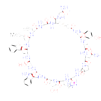 CCCC[C@H]1C(=O)N[C@@H](C)C(=O)NC(C(=O)NCC(N)=O)CSCC(=O)N[C@@H](Cc2ccc(O)cc2)C(=O)N(C)[C@@H](C)C(=O)N[C@@H](CC(N)=O)C(=O)N2CCC[C@H]2C(=O)N[C@@H](CN)C(=O)N[C@@H](CC(C)C)C(=O)N2C[C@H](O)CC2C(=O)N[C@@H](Cc2c[nH]c3ccccc23)C(=O)N[C@@H](CO)C(=O)N[C@@H](Cc2csc3ccccc23)C(=O)N(C)[C@@H](CCSC)C(=O)N1C